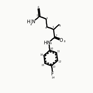 C=C(N)CCC(C)C(=O)Nc1ccc(F)cc1